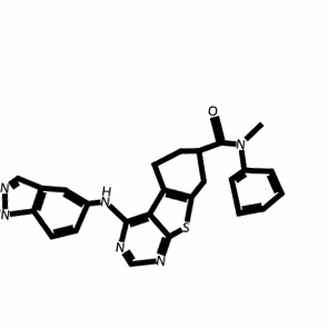 CN(C(=O)C1CCc2c(sc3ncnc(Nc4ccc5[nH]ncc5c4)c23)C1)c1ccccc1